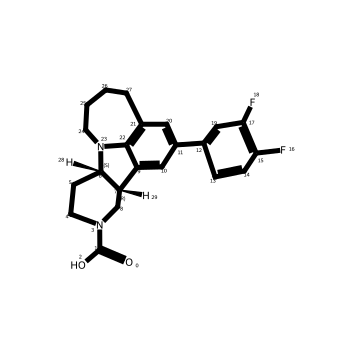 O=C(O)N1CC[C@H]2[C@@H](C1)c1cc(-c3ccc(F)c(F)c3)cc3c1N2CCCC3